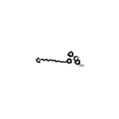 Oc1ccc2c(c1)OC[C@@H](c1ccccc1)[C@H]2c1ccc(CCCCCCCCCCCCN2CCCC2)cc1